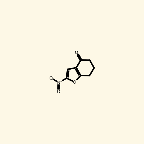 O=C1CCCc2oc([N+](=O)[O-])cc21